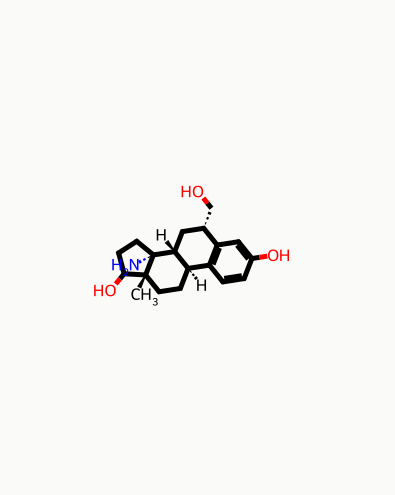 C[C@]12CC[C@@H]3c4ccc(O)cc4[C@@H](CO)C[C@H]3[C@]1(N)CCC2O